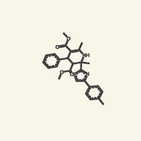 COC(=O)C1=C(C)NC(C)(c2nc(-c3ccc(C)cc3)cs2)C(C(=O)OC)C1c1ccccc1